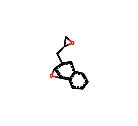 c1ccc2c3c(c(C[C@H]4CO4)cc2c1)O3